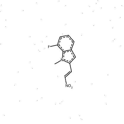 Cn1c(/C=C/[N+](=O)[O-])cc2cccc(F)c21